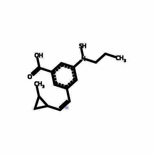 CCCN(S)c1cc(/C=C\C2CC2C)cc(C(=O)O)c1